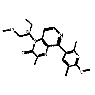 CC[C@H](COC)n1c(=O)c(C)nc2c(-c3cc(C)c(OC)nc3C)nccc21